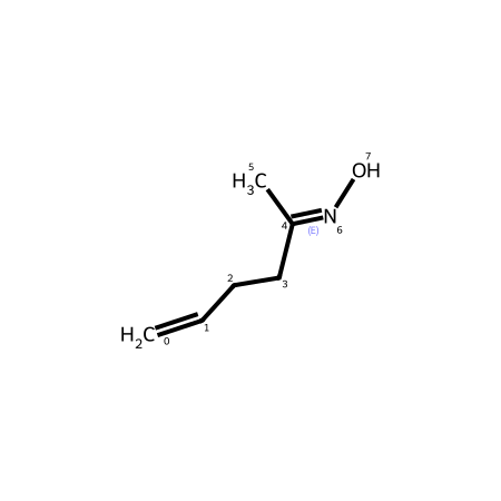 C=CCC/C(C)=N/O